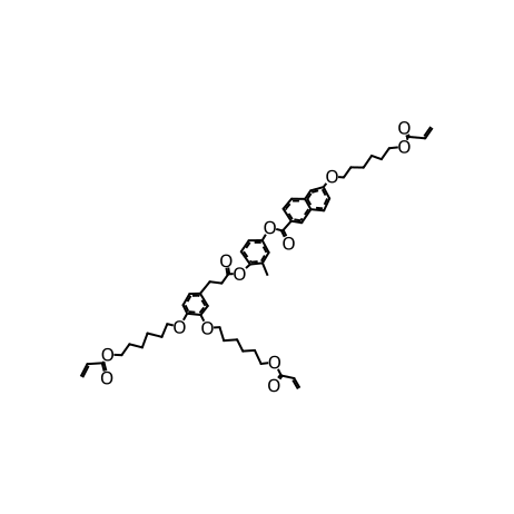 C=CC(=O)OCCCCCCOc1ccc2cc(C(=O)Oc3ccc(OC(=O)CCc4ccc(OCCCCCCOC(=O)C=C)c(OCCCCCCOC(=O)C=C)c4)c(C)c3)ccc2c1